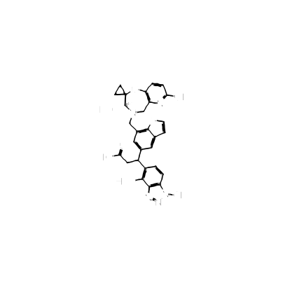 Cc1c(C(CC(=O)O)c2cc(CN3Cc4nc(O)ccc4OC4(CC4)[C@H]3C)c3sccc3c2)ccc2c1nnn2C